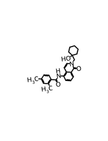 Cc1ccc(C(=O)Nc2cccc3c(=O)n(CC4(O)CCCCC4)ccc23)c(C)c1